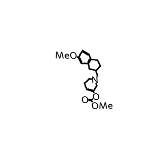 COC(=O)OC1=CCCN(CC2CCc3ccc(OC)cc3C2)C1